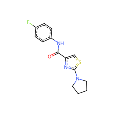 O=C(Nc1ccc(F)cc1)c1csc(N2CCCC2)n1